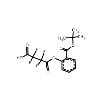 CC(C)(C)OC(=O)c1ccccc1OC(=O)C(F)(F)C(F)(F)C(=O)O